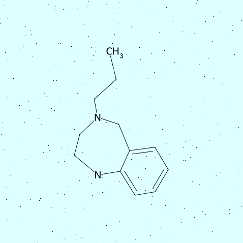 CCCN1CC[N]c2ccccc2C1